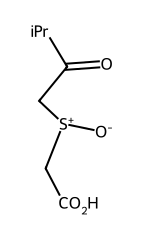 CC(C)C(=O)C[S+]([O-])CC(=O)O